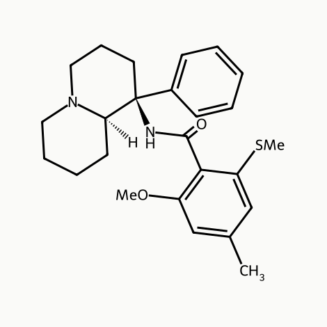 COc1cc(C)cc(SC)c1C(=O)N[C@]1(c2ccccc2)CCCN2CCCC[C@@H]21